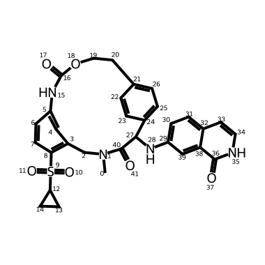 CN1Cc2cc(ccc2S(=O)(=O)C2CC2)NC(=O)OCCc2ccc(cc2)C(Nc2ccc3cc[nH]c(=O)c3c2)C1=O